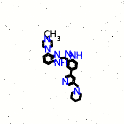 CN1CCN(c2cccc3[nH]c(-c4n[nH]c5ccc(-c6cncc(CN7CCCCC7)c6)cc45)nc23)CC1